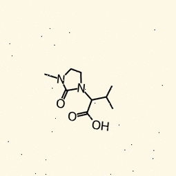 CC(C)C(C(=O)O)N1CCN(C)C1=O